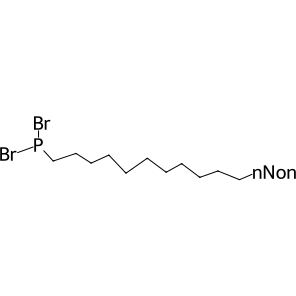 CCCCCCCCCCCCCCCCCCCCP(Br)Br